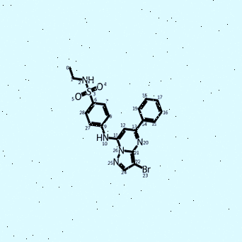 CCNS(=O)(=O)c1ccc(Nc2cc(-c3ccccc3)nc3c(Br)cnn23)cc1